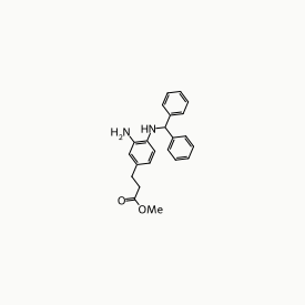 COC(=O)CCc1ccc(NC(c2ccccc2)c2ccccc2)c(N)c1